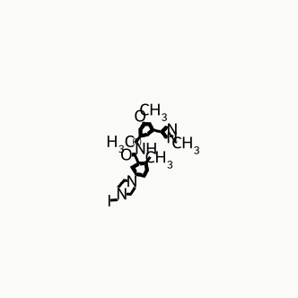 COc1cc(-c2cnn(C)c2)cc([C@@H](C)NC(=O)c2cc(N3CCN(CI)CC3)ccc2C)c1